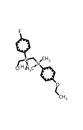 CCOc1ccc([Si](C)(C)C[Si](C)(CCl)c2ccc(F)cc2)cc1